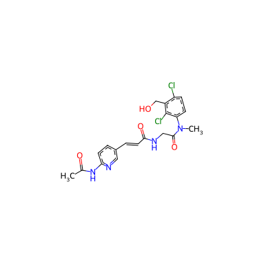 CC(=O)Nc1ccc(/C=C/C(=O)NCC(=O)N(C)c2ccc(Cl)c(CO)c2Cl)cn1